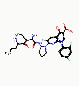 CCCC(N)C(=O)C(CC)C(N)C(=O)NC1CCCN1c1nc2c(cc1F)c(=O)c(C(=O)O)cn2-c1ccc(F)cc1F